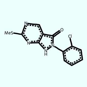 CSc1ncc2c(=O)n(-c3ccccc3Cl)[nH]c2n1